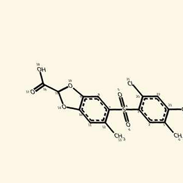 Cc1cc(S(=O)(=O)c2cc3c(cc2C)OC(C(=O)O)O3)c(Cl)cc1Cl